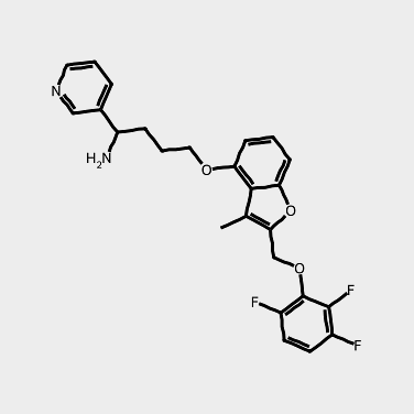 Cc1c(COc2c(F)ccc(F)c2F)oc2cccc(OCCCC(N)c3cccnc3)c12